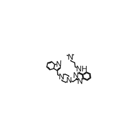 CN(C)CCCNc1nc(CN2CCN(CC3=CN(C)C4C=CC=CC34)CC2)nc2ccccc12